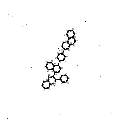 c1ccc(-c2nc3ccccc3nc2-c2ccc(-c3ccc(-c4ccc5c(c4)ncc4ccccc45)cc3)c3ccccc23)cc1